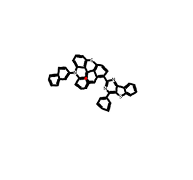 c1ccc(-c2nc(-c3ccc4c5c(cccc35)-c3c(cccc3N(c3ccccc3)c3ccc5ccccc5c3)S4)nc3c2sc2ccccc23)cc1